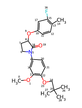 COc1cc(N2CCC(Oc3ccc(C)c(F)c3)C2=O)ccc1OCC(C)(C)C